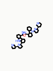 c1cncc(-c2cccc(-c3cccc4c3[nH]c3cccc(-c5nnc(-c6cccc7c6c6ccccc6n7-c6cccc(-c7cccnc7)n6)o5)c34)n2)c1